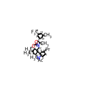 CC(=O)N(C)c1ccc(C(C)C)cc1C1=C(CN2C(=O)O[C@H](c3cc(C)cc(C(F)(F)F)c3)[C@@H]2C)CC(C)(C)CC1